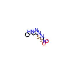 O=[N+]([O-])c1cnc(Sc2ncnc3[nH]c(-c4ccccc4)cc23)s1